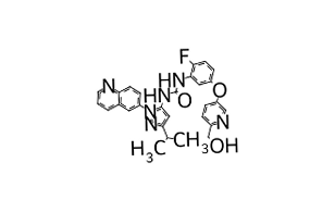 CC(C)c1cc(NC(=O)Nc2cc(Oc3ccc(CO)nc3)ccc2F)n(-c2ccc3ncccc3c2)n1